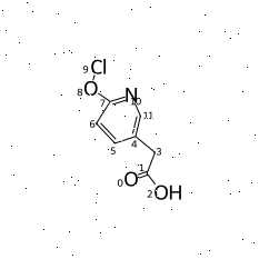 O=C(O)Cc1ccc(OCl)nc1